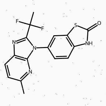 Cc1ccc2nc(C(C)(F)F)n(-c3ccc4[nH]c(=O)sc4c3)c2n1